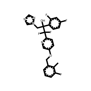 Cc1c(F)cccc1COc1ccc(C(F)(F)C(O)(Cn2cncn2)c2ccc(F)cc2F)nc1